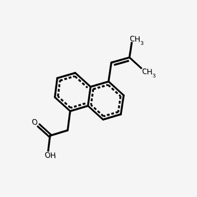 CC(C)=Cc1cccc2c(CC(=O)O)cccc12